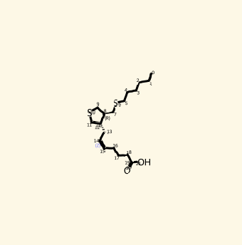 CCCCCCSC[C@@H]1CSC[C@H]1C/C=C\CCCC(=O)O